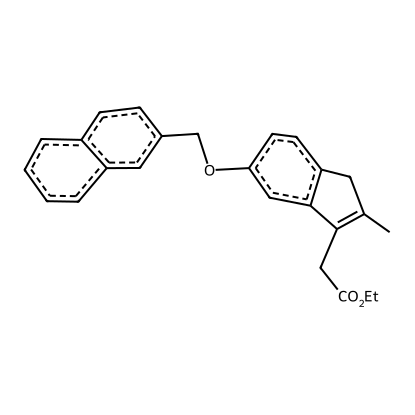 CCOC(=O)CC1=C(C)Cc2ccc(OCc3ccc4ccccc4c3)cc21